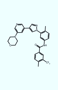 Cc1ccc(NC(=O)c2ccc(C)c(C(F)(F)F)c2)cc1-n1cc(-c2cncc(N3CCOCC3)c2)cn1